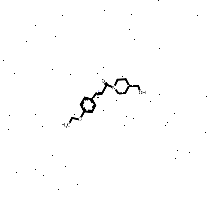 CCOc1ccc(/C=C/C(=O)N2CCC(CO)CC2)cc1